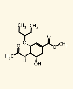 CCC(CC)O[C@@H]1C=C(C(=O)OC)C[C@@H](O)[C@H]1NC(C)=O